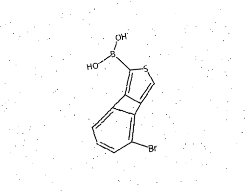 OB(O)c1scc2c1-c1cccc(Br)c1-2